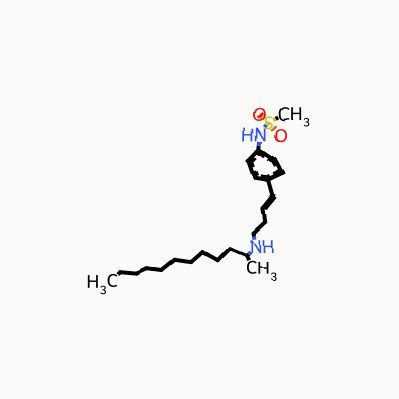 CCCCCCCCCCC(C)NCCC=Cc1ccc(NS(C)(=O)=O)cc1